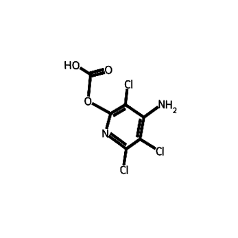 Nc1c(Cl)c(Cl)nc(OC(=O)O)c1Cl